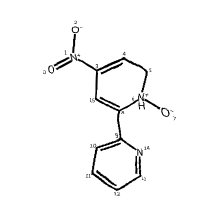 O=[N+]([O-])C1=CC[NH+]([O-])C(c2ccccn2)=C1